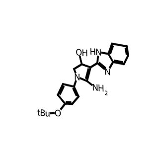 CC(C)(C)Oc1ccc(N2CC(O)C(c3nc4ccccc4[nH]3)=C2N)cc1